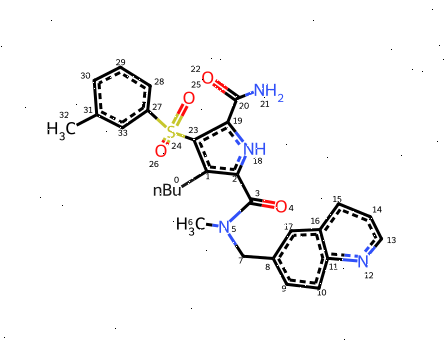 CCCCc1c(C(=O)N(C)Cc2ccc3ncccc3c2)[nH]c(C(N)=O)c1S(=O)(=O)c1cccc(C)c1